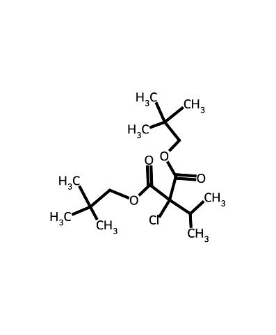 CC(C)C(Cl)(C(=O)OCC(C)(C)C)C(=O)OCC(C)(C)C